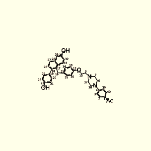 CC(=O)c1ccc(N2CCN(CCOc3ccc(Cc4c(-c5ccc(O)cc5)ccc5cc(O)ccc45)cc3)CC2)cc1